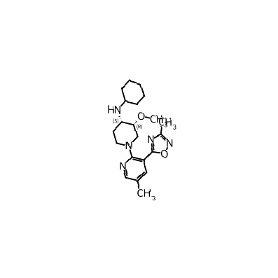 CO[C@@H]1CN(c2ncc(C)cc2-c2nc(C)no2)CC[C@@H]1NC1CCCCC1